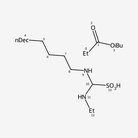 CCC(=O)OCC(C)C.CCCCCCCCCCCCCCNC(NCC)S(=O)(=O)O